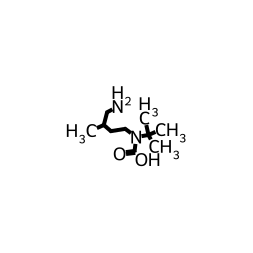 CC(CN)CCN(C(=O)O)C(C)(C)C